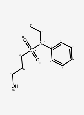 CCN(c1ccccc1)S(=O)(=O)CCCO